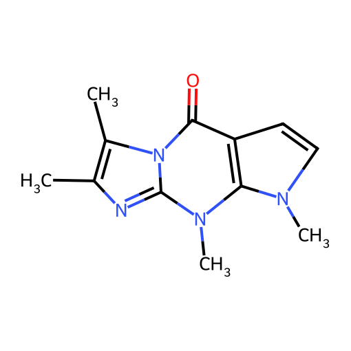 Cc1nc2n(C)c3c(ccn3C)c(=O)n2c1C